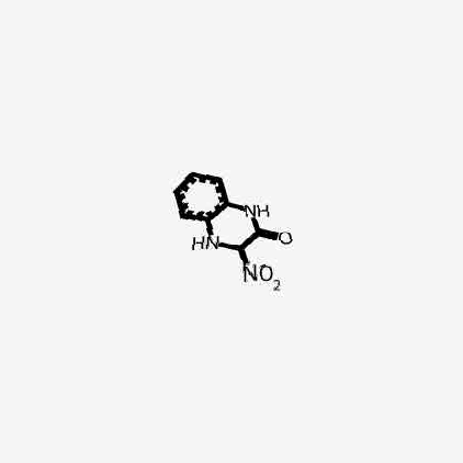 O=C1Nc2ccccc2NC1[N+](=O)[O-]